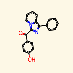 O=C(c1ccc(O)cc1)c1nc(-c2ccccc2)c2ccccn12